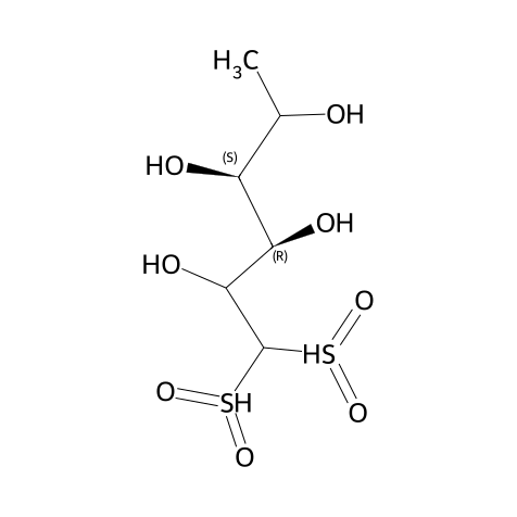 CC(O)[C@H](O)[C@@H](O)C(O)C([SH](=O)=O)[SH](=O)=O